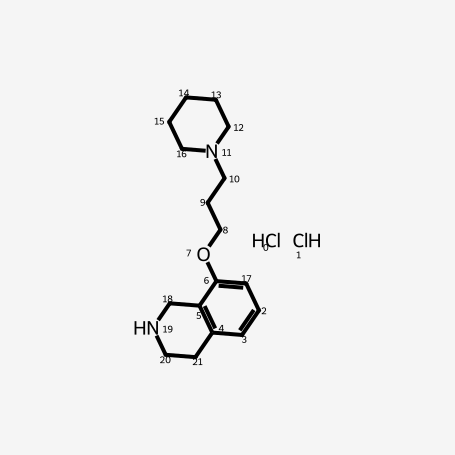 Cl.Cl.c1cc2c(c(OCCCN3CCCCC3)c1)CNCC2